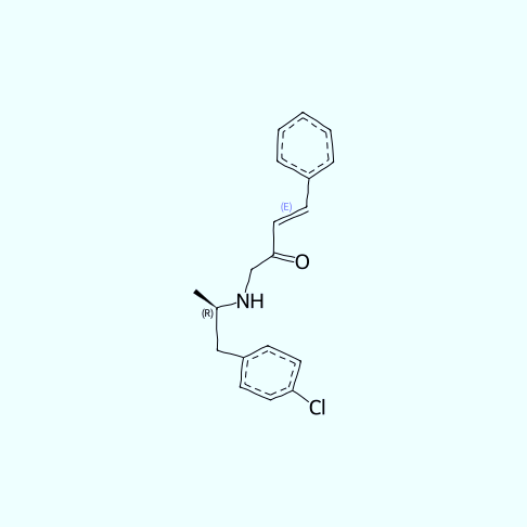 C[C@H](Cc1ccc(Cl)cc1)NCC(=O)/C=C/c1ccccc1